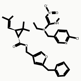 CC(C)=C[C@@H]1[C@@H](C(=O)OCc2coc(Cc3ccccc3)c2)C1(C)C.CCN(Cc1ccc(Cl)nc1)/C(=C/[N+](=O)[O-])NC